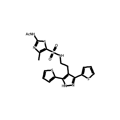 CC(=O)Nc1nc(C)c(S(=O)(=O)NCCc2c(-c3cccs3)n[nH]c2-c2cccs2)s1